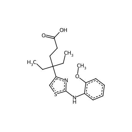 CCC(CC)(CCC(=O)O)c1csc(Nc2ccccc2OC)n1